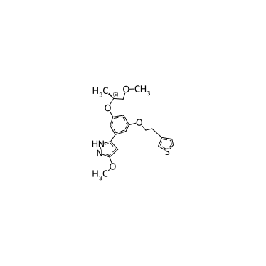 COC[C@H](C)Oc1cc(OCCc2ccsc2)cc(-c2cc(OC)n[nH]2)c1